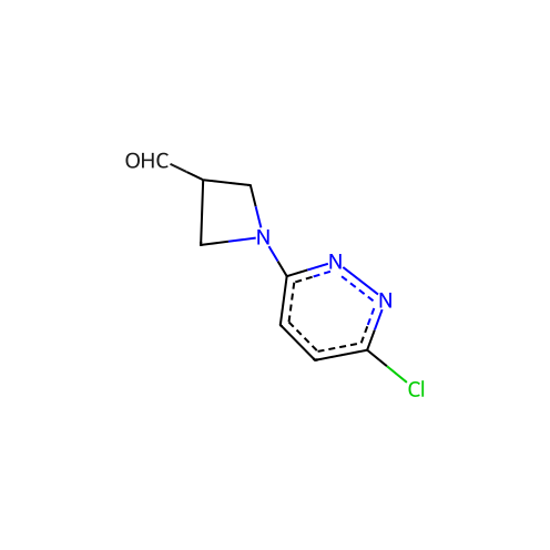 O=CC1CN(c2ccc(Cl)nn2)C1